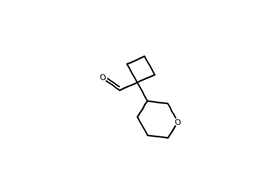 O=CC1(C2CCCOC2)CCC1